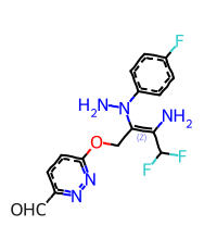 N/C(=C(/COc1ccc(C=O)nn1)N(N)c1ccc(F)cc1)C(F)F